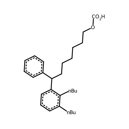 CCCCc1cccc(C(CCCCCCOC(=O)O)c2ccccc2)c1CCCC